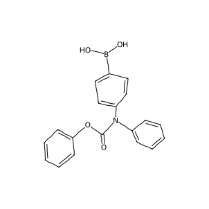 O=C(Oc1ccccc1)N(c1ccccc1)c1ccc(B(O)O)cc1